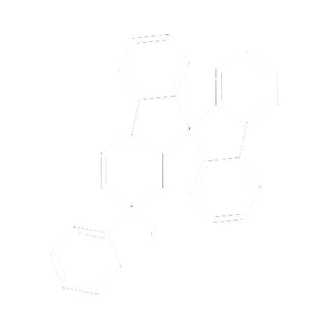 ClC1(c2ccccc2)C=CC2=C(C1)C1(c3ccccc32)c2ccccc2-c2ccccc21